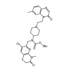 Cc1ccc2ncc(=O)n(CCN3CCC(N(Cc4nc5c(cc4Cl)SCC(=O)N5C)C(=O)OC(C)(C)C)CC3)c2c1